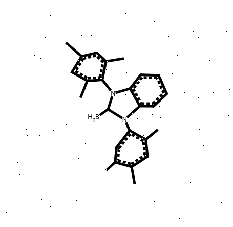 BC1N(c2cc(C)c(C)cc2C)c2ccccc2N1c1c(C)cc(C)cc1C